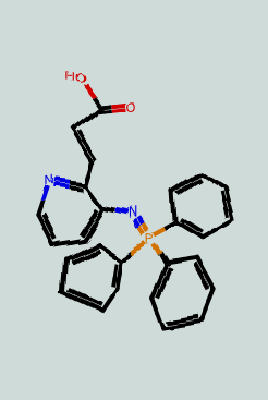 O=C(O)C=Cc1ncccc1N=P(c1ccccc1)(c1ccccc1)c1ccccc1